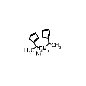 CC(C)C1=CC=CC1.CC(C)C1=CC=CC1.[Ni]